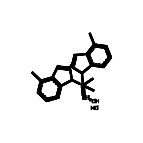 CC1=Cc2c(C)cccc2[CH]1[Ti]([CH3])([CH3])(=[SiH2])[CH]1C(C)=Cc2c(C)cccc21.Cl.Cl